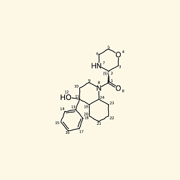 O=C([C@@H]1COCCN1)N1CCC(O)(c2ccccc2)C2CCCCC21